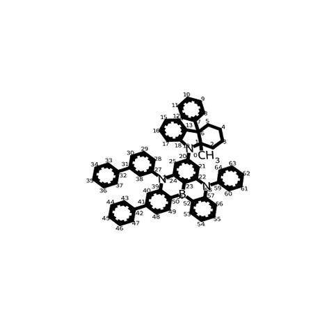 CC12CCCCC1(c1ccccc1)c1ccccc1N2c1cc2c3c(c1)N(c1cccc(-c4ccccc4)c1)c1cc(-c4ccccc4)ccc1B3c1ccccc1N2c1ccccc1